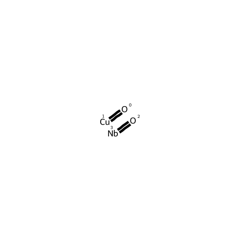 [O]=[Cu].[O]=[Nb]